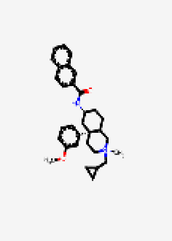 COc1cccc([C@@]23CC[N@+](C)(CC4CC4)CC2CC[C@@H](NC(=O)c2ccc4ccccc4c2)C3)c1